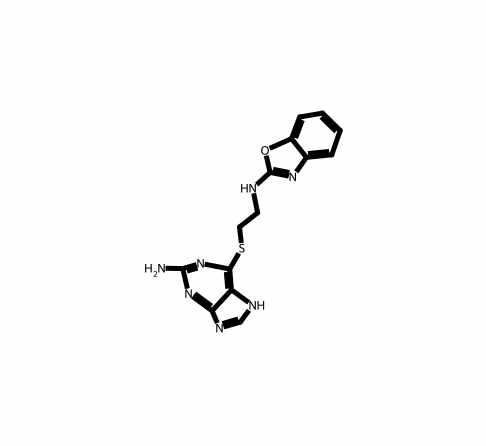 Nc1nc(SCCNc2nc3ccccc3o2)c2[nH]cnc2n1